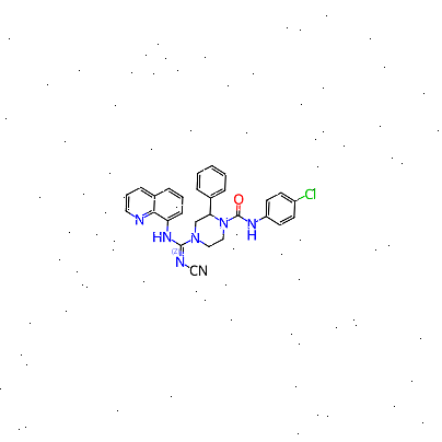 N#C/N=C(/Nc1cccc2cccnc12)N1CCN(C(=O)Nc2ccc(Cl)cc2)C(c2ccccc2)C1